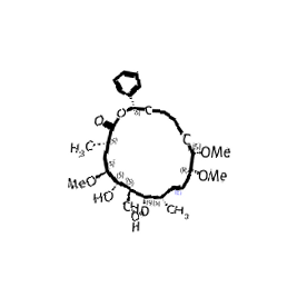 CO[C@H]1C[C@H](C)C(=O)O[C@H](c2ccccc2)CCCC[C@H](OC)[C@H](OC)/C=C/[C@H](C)[C@H](OO)[C@@H](C)[C@@H]1O